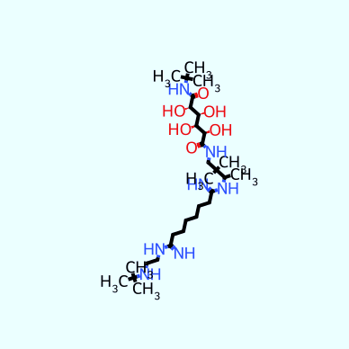 CC(NC(=N)CCCCCCC(=N)NCCNC(C)(C)C)C(C)(C)CNC(=O)[C@H](O)[C@@H](O)[C@@H](O)[C@H](O)C(=O)NC(C)(C)C